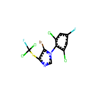 Fc1cc(Cl)c(-n2cnc(SC(F)(Cl)Cl)c2Br)c(Cl)c1